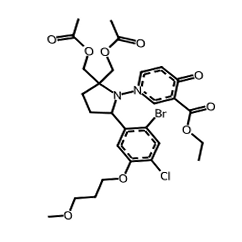 CCOC(=O)c1cn(N2C(c3cc(OCCCOC)c(Cl)cc3Br)CCC2(COC(C)=O)COC(C)=O)ccc1=O